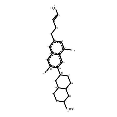 CC=CCCc1cc(F)c2cc(C3CCC4CC(CCCCCC)CCC4C3)c(F)cc2c1